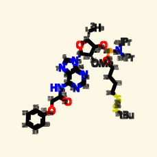 [2H]C[C@H]1O[C@@H](n2cnc3c(NC(=O)COc4ccccc4)ncnc32)[C@@H](OC)C1OP(OCCCCSSC(C)(C)C)N(C(C)C)C(C)C